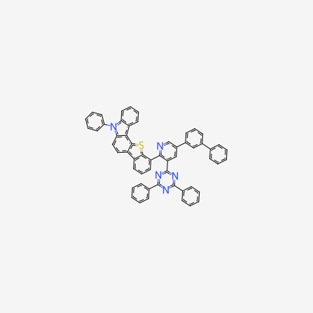 c1ccc(-c2cccc(-c3cnc(-c4cccc5c4sc4c5ccc5c4c4ccccc4n5-c4ccccc4)c(-c4nc(-c5ccccc5)nc(-c5ccccc5)n4)c3)c2)cc1